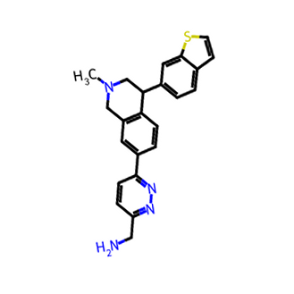 CN1Cc2cc(-c3ccc(CN)nn3)ccc2C(c2ccc3ccsc3c2)C1